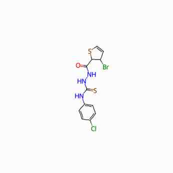 O=C(NNC(=S)Nc1ccc(Cl)cc1)C1SC=CC1Br